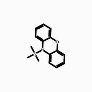 C[Si](C)(C)N1c2ccccc2Oc2ccccc21